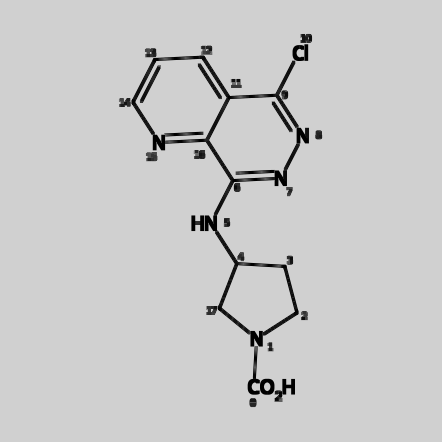 O=C(O)N1CCC(Nc2nnc(Cl)c3cccnc23)C1